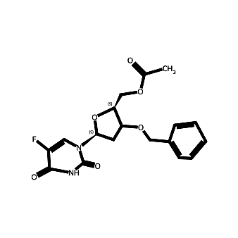 CC(=O)OC[C@@H]1O[C@H](n2cc(F)c(=O)[nH]c2=O)CC1OCc1ccccc1